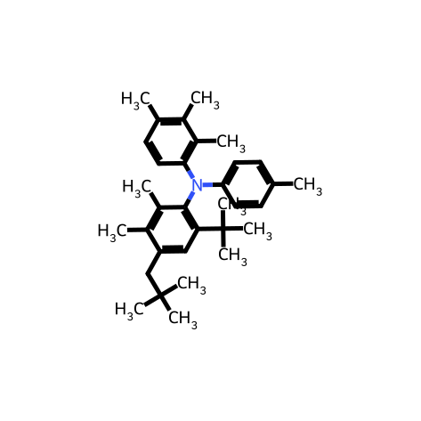 Cc1ccc(N(c2ccc(C)c(C)c2C)c2c(C(C)(C)C)cc(CC(C)(C)C)c(C)c2C)cc1